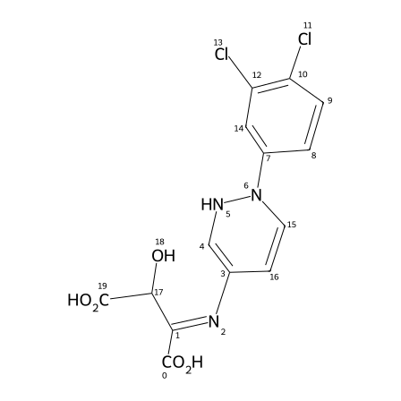 O=C(O)C(=NC1=CNN(c2ccc(Cl)c(Cl)c2)C=C1)C(O)C(=O)O